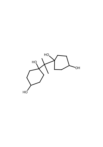 CC(C)(C1(O)CCC(O)CC1)C1(O)CCC(O)CC1